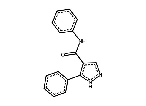 O=C(Nc1ccccc1)c1cn[nH]c1-c1ccccc1